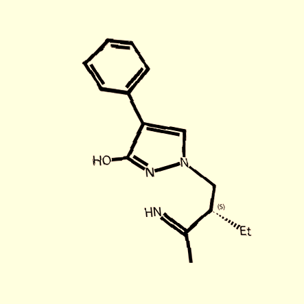 CC[C@@H](Cn1cc(-c2ccccc2)c(O)n1)C(C)=N